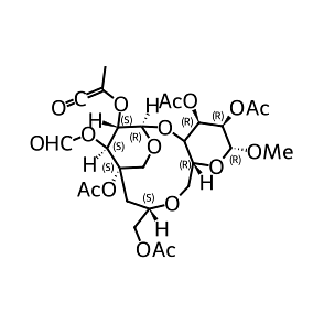 CO[C@@H]1O[C@@H]2CO[C@H](COC(C)=O)C[C@]3(OC(C)=O)CO[C@H](OC2[C@@H](OC(C)=O)[C@H]1OC(C)=O)[C@@H](OC(C)=C=O)[C@@H]3OC=O